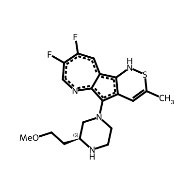 COCC[C@H]1CN(c2c3ncc(F)c(F)cc-3c3c2C=C(C)SN3)CCN1